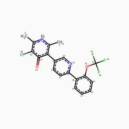 Cc1[nH]c(C)c(-c2ccc(-c3ccccc3OC(F)(F)F)nc2)c(=O)c1Cl